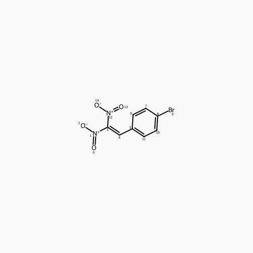 O=[N+]([O-])C(=Cc1ccc(Br)cc1)[N+](=O)[O-]